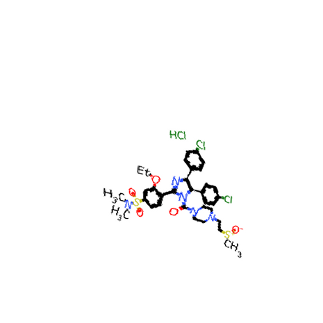 CCOc1cc(S(=O)(=O)N(C)C)ccc1C1=N[C@@H](c2ccc(Cl)cc2)[C@@H](c2ccc(Cl)cc2)N1C(=O)N1CCN(CC[S+](C)[O-])CC1.Cl